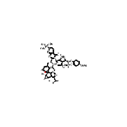 CCC[CH2][Sn]([CH2]CCC)([CH2]CCC)[c]1ccc2c(=O)n(-c3ccc(Cl)c4c(N(Cc5ccc(OC)cc5)S(C)(=O)=O)nn(C)c34)c([C@H](Cc3cc(F)cc(F)c3)NC(=O)Cn3nc(C(F)F)c4c3C(F)(F)[C@@H]3C[C@H]43)nc2n1